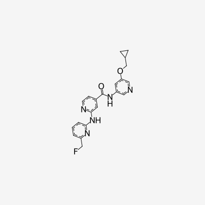 O=C(Nc1cncc(OCC2CC2)c1)c1ccnc(Nc2cccc(CF)n2)c1